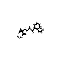 NC(=O)C1(CCNC(=O)c2cccc3occc23)CC1